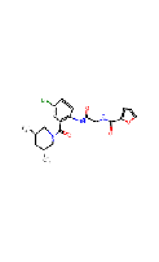 O=C(CNC(=O)c1ccco1)Nc1ccc(Br)cc1C(=O)N1C[C@H](C(F)(F)F)C[C@H](C(F)(F)F)C1